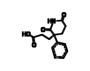 O=C(O)CCC1(c2ccccc2)CCC(=O)NC1=O